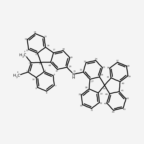 CC1=C(C)C2(c3ccccc31)c1ccccc1-c1ccc(Nc3cccc4c3-c3ccccc3C43c4ccccc4-c4ccccc43)cc12